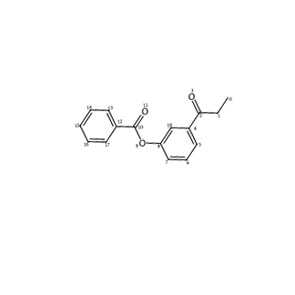 CCC(=O)c1cccc(OC(=O)c2ccccc2)c1